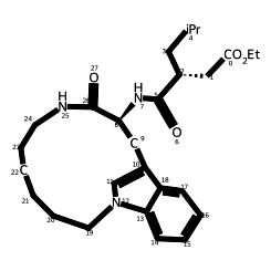 CCOC(=O)C[C@@H](CC(C)C)C(=O)N[C@H]1Cc2cn(c3ccccc23)CCCCCCNC1=O